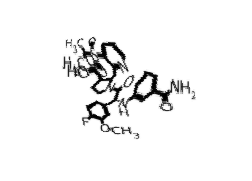 COc1cc([C@@H](Nc2cccc(C(N)=O)c2)C(=O)N2CCC(C(=O)O)C2c2ncccc2S(=O)(=O)C(C)C)ccc1F